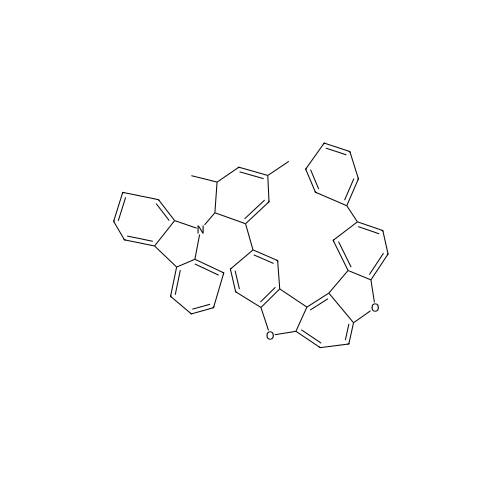 CC1=CC(C)C(n2c3ccccc3c3ccccc32)C(c2ccc3oc4ccc5oc6ccc(-c7ccccc7)cc6c5c4c3c2)=C1